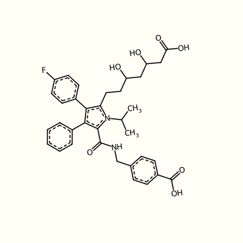 CC(C)n1c(CCC(O)CC(O)CC(=O)O)c(-c2ccc(F)cc2)c(-c2ccccc2)c1C(=O)NCc1ccc(C(=O)O)cc1